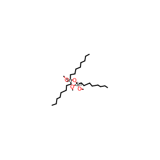 CCCCCCC[CH2][Sn]([CH2]CCCCCCC)([O]C)[O][Sn]([CH2]CCCCCCC)([O]C)[O]C